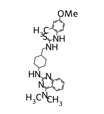 COc1ccc(NC(=S)NCC2CCC(Nc3nc(N(C)C)c4ccccc4n3)CC2)c(C)c1